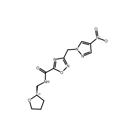 O=C(NC[C@H]1CCCO1)c1nc(Cn2cc([N+](=O)[O-])cn2)no1